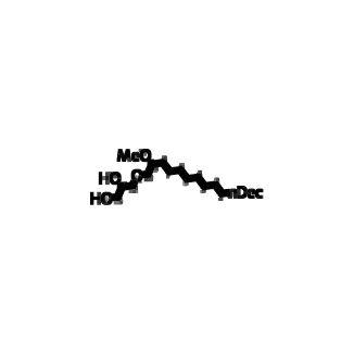 CCCCCCCCCCCCCCCCCCC(COCC(O)CO)OC